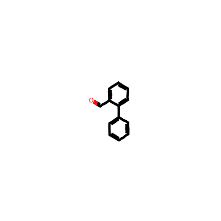 O=Cc1c[c]ccc1-c1ccccc1